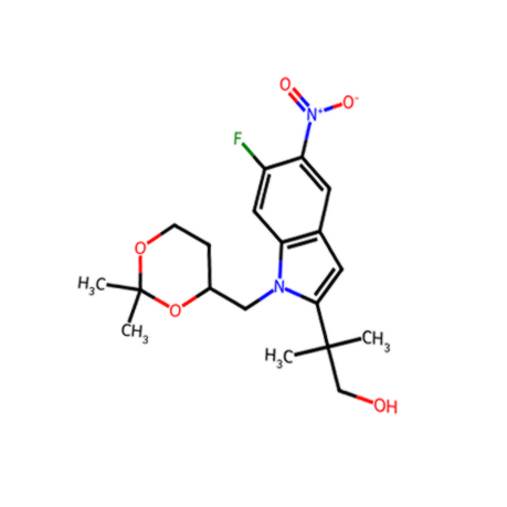 CC1(C)OCCC(Cn2c(C(C)(C)CO)cc3cc([N+](=O)[O-])c(F)cc32)O1